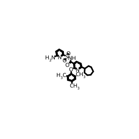 Cc1cc(C)c(Oc2nc(C3CCCCCC3)ccc2C(=O)NS(=O)(=O)c2cccc(N)n2)c(C)c1